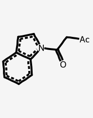 CC(=O)CC(=O)n1ccc2ccccc21